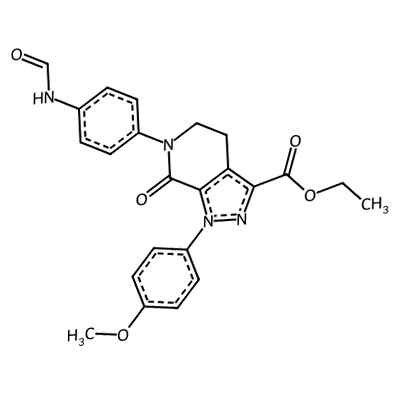 CCOC(=O)c1nn(-c2ccc(OC)cc2)c2c1CCN(c1ccc(NC=O)cc1)C2=O